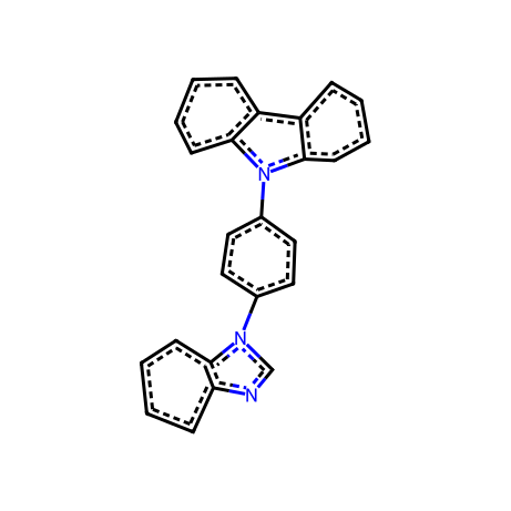 c1ccc2c(c1)ncn2-c1ccc(-n2c3ccccc3c3ccccc32)cc1